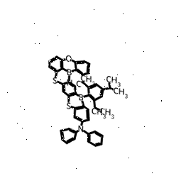 CC(C)c1cc(C(C)C)c(B2c3ccc(N(c4ccccc4)c4ccccc4)cc3Sc3cc4c(cc32)B2c3ccccc3Oc3cccc(c32)S4)c(C(C)C)c1